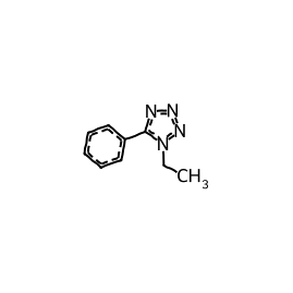 CCn1nnnc1-c1ccccc1